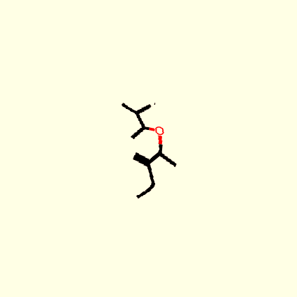 [CH2]C(C)C(C)OC(C)C(=C)CC